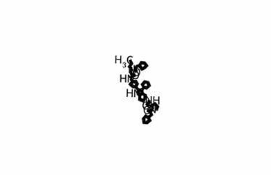 CCCN(CC(=O)Nc1ccc(-c2[nH]c3ccc(NC(=O)[C@@H]4CCCN4C(=O)Cc4ccccc4)cc3c2-c2ccccc2)cc1)C(=O)Cc1ccccc1